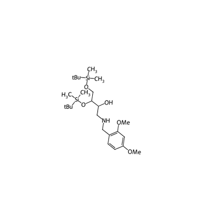 COc1ccc(CNCC(O)C(CO[Si](C)(C)C(C)(C)C)O[Si](C)(C)C(C)(C)C)c(OC)c1